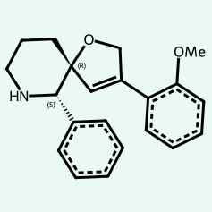 COc1ccccc1C1=C[C@@]2(CCCN[C@H]2c2ccccc2)OC1